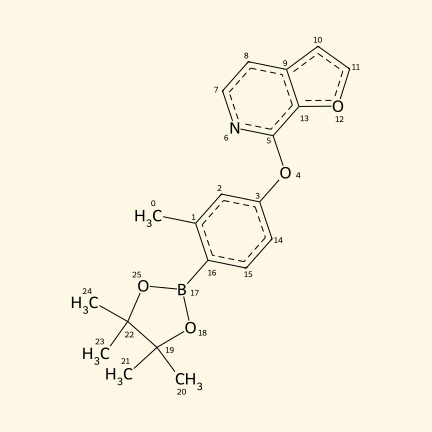 Cc1cc(Oc2nccc3ccoc23)ccc1B1OC(C)(C)C(C)(C)O1